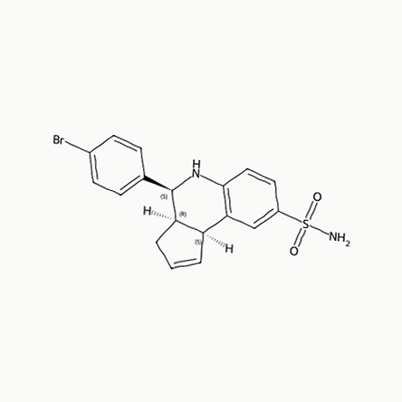 NS(=O)(=O)c1ccc2c(c1)[C@H]1C=CC[C@H]1[C@@H](c1ccc(Br)cc1)N2